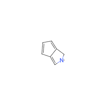 C1=CC2=C[N]CC2=C1